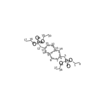 CCOP(=O)(Cc1ccc2cc(CP(=O)(OCC)OCC)ccc2c1)OCC